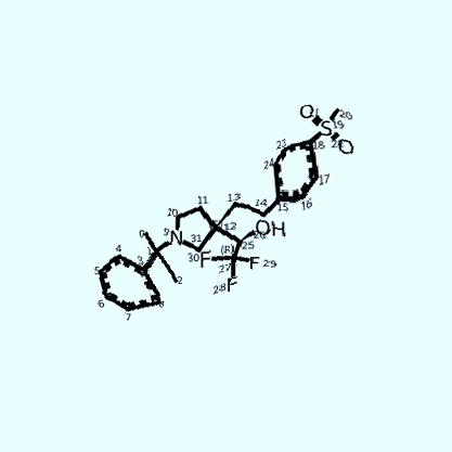 CC(C)(c1ccccc1)N1CC[C@](CCc2ccc(S(C)(=O)=O)cc2)([C@@H](O)C(F)(F)F)C1